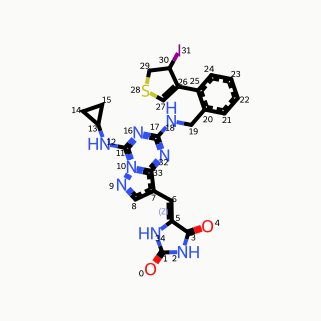 O=C1NC(=O)/C(=C/c2cnn3c(NC4CC4)nc(NCc4ccccc4C4=CSCC4I)nc23)N1